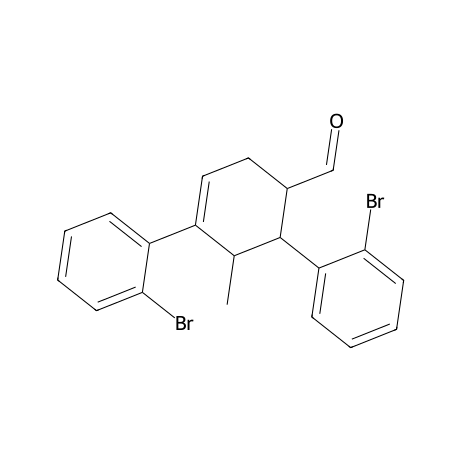 CC1C(c2ccccc2Br)=CCC(C=O)C1c1ccccc1Br